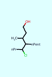 CCCCCC(C(C)CCO)C(Cl)CCC